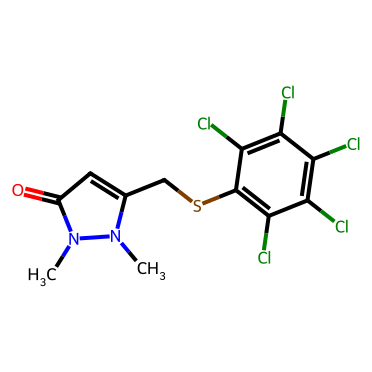 Cn1c(CSc2c(Cl)c(Cl)c(Cl)c(Cl)c2Cl)cc(=O)n1C